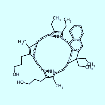 CCc1c(CC)c2[nH]c1cc1nc(cc3[nH]c(cc4nc5c(cc6ccccc6c52)C4(CC)CC)c(C)c3CCCO)C(CCCO)=C1C